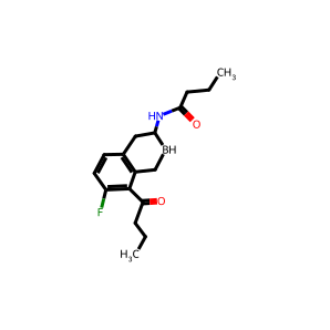 CCCC(=O)NC1BCc2c(ccc(F)c2C(=O)CCC)C1